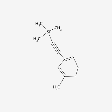 CC1=CC(C#C[Si](C)(C)C)=CC[CH]1